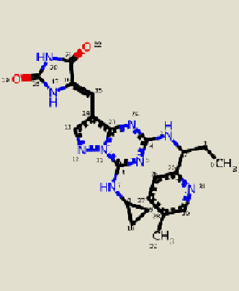 CCC(Nc1nc(NC2CC2)n2ncc(/C=C3\NC(=O)NC3=O)c2n1)c1ccc(C)cn1